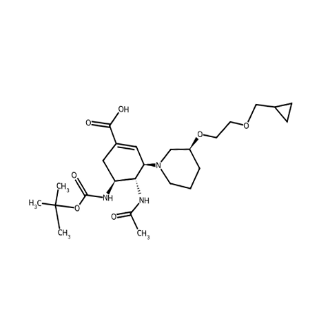 CC(=O)N[C@@H]1[C@@H](NC(=O)OC(C)(C)C)CC(C(=O)O)=C[C@H]1N1CCC[C@H](OCCOCC2CC2)C1